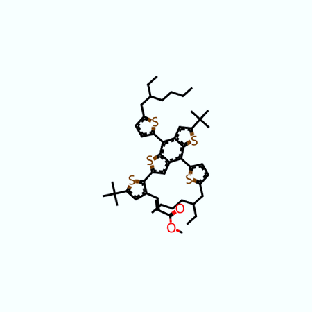 CCCCC(CC)Cc1ccc(-c2c3cc(C(C)(C)C)sc3c(-c3ccc(CC(CC)CCCC)s3)c3cc(-c4sc(C(C)(C)C)cc4/C=C/C(=O)OC)sc23)s1